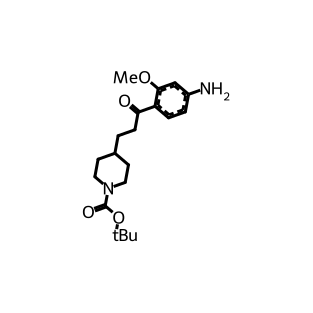 COc1cc(N)ccc1C(=O)CCC1CCN(C(=O)OC(C)(C)C)CC1